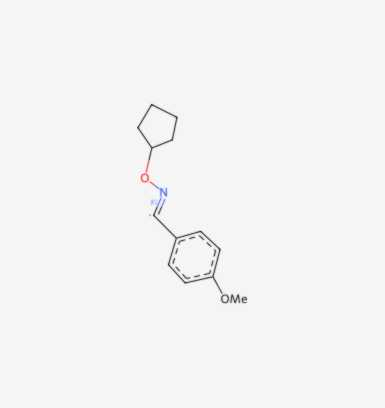 COc1ccc(/[C]=N/OC2CCCC2)cc1